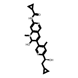 Cc1cc([C@@H](O)CC2CC2)ncc1C1=Cc2cnc(NC(=O)C3CC3)cc2N(C)C1O